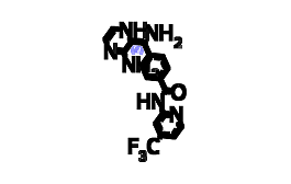 NC1=NC=CN/C1=C(\N)c1ccc(C(=O)Nc2cc(C(F)(F)F)ccn2)cc1